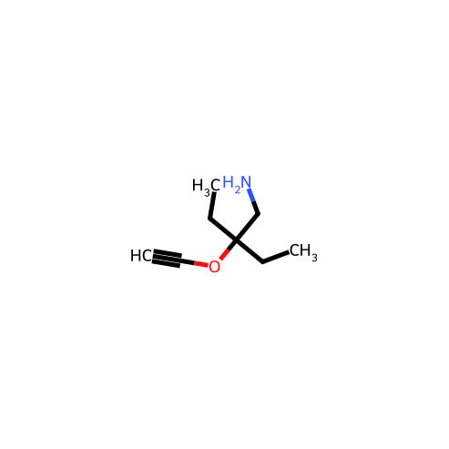 C#COC(CC)(CC)CN